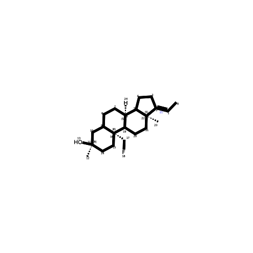 C/C=C1\CCC2[C@@H]3CCC4C[C@](C)(O)CC[C@]4(CF)C3CC[C@]12C